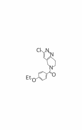 CCOc1ccc(C(=O)N2CCc3nnc(Cl)cc3C2)cc1